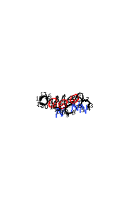 COc1cccnc1N1CCc2nc(COc3ccccc3)oc2C1=O